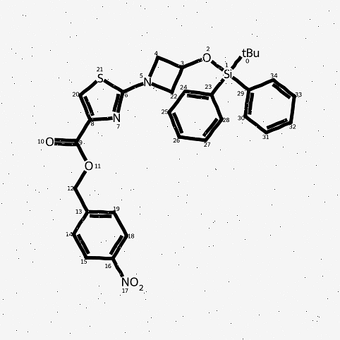 CC(C)(C)[Si](OC1CN(c2nc(C(=O)OCc3ccc([N+](=O)[O-])cc3)cs2)C1)(c1ccccc1)c1ccccc1